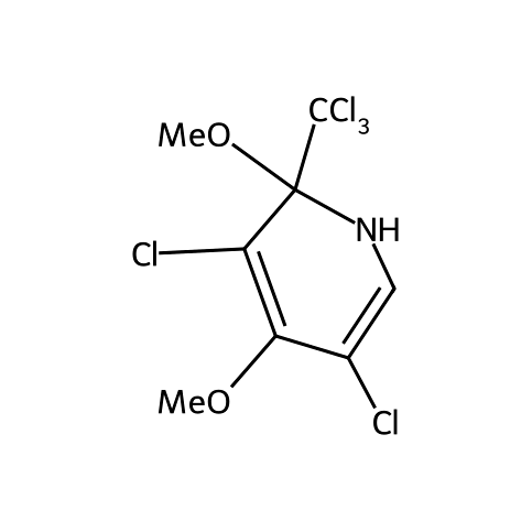 COC1=C(Cl)C(OC)(C(Cl)(Cl)Cl)NC=C1Cl